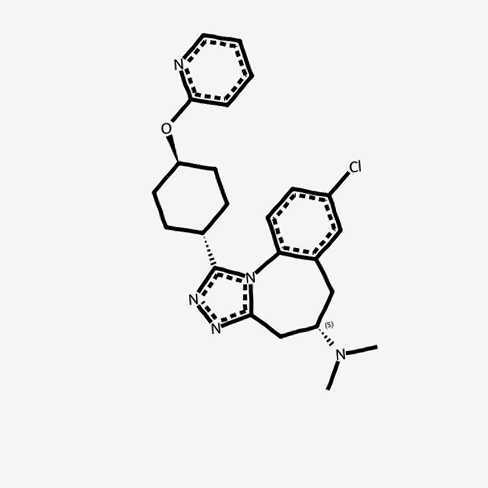 CN(C)[C@H]1Cc2cc(Cl)ccc2-n2c(nnc2[C@H]2CC[C@H](Oc3ccccn3)CC2)C1